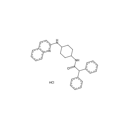 Cl.O=C(NC1CCC(Nc2ccc3ccccc3n2)CC1)C(c1ccccc1)c1ccccc1